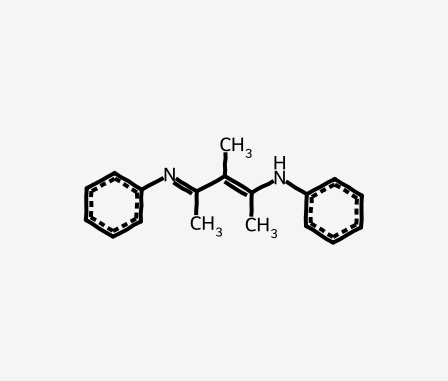 CC(=N\c1ccccc1)/C(C)=C(\C)Nc1ccccc1